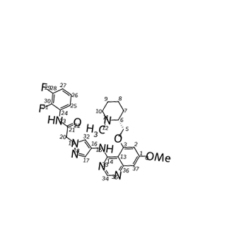 COc1cc(OC[C@H]2CCCCN2C)c2c(Nc3cnn(CC(=O)Nc4cccc(F)c4F)c3)ncnc2c1